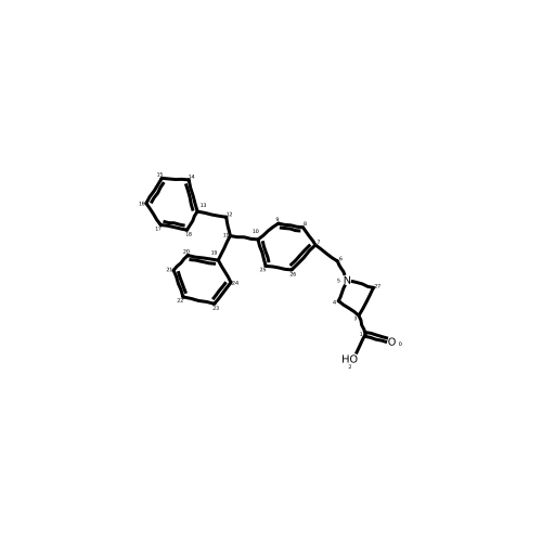 O=C(O)C1CN(Cc2ccc(C(Cc3ccccc3)c3ccccc3)cc2)C1